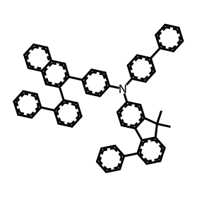 CC1(C)c2cc(N(c3ccc(-c4ccccc4)cc3)c3ccc(-c4cc5ccccc5cc4-c4ccccc4-c4ccccc4)cc3)ccc2-c2c(-c3ccccc3)cccc21